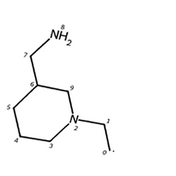 [CH2]CN1CCCC(CN)C1